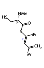 C=C(/C=C(/SC(=O)[C@H](CS)NC)C(C)C)C(C)C